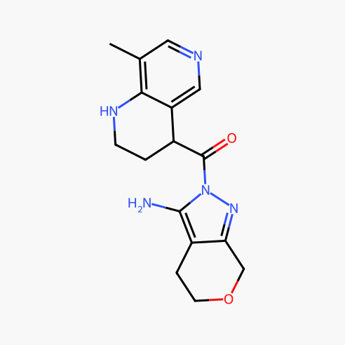 Cc1cncc2c1NCCC2C(=O)n1nc2c(c1N)CCOC2